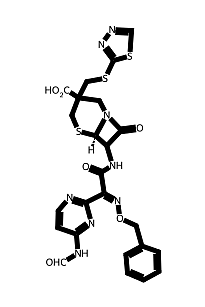 O=CNc1ccnc(C(=NOCc2ccccc2)C(=O)NC2C(=O)N3CC(CSc4nncs4)(C(=O)O)CS[C@H]23)n1